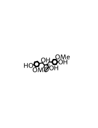 COc1cc(C[C@H]2C(O)OCC2C(O)c2ccc(O)c(OC)c2)ccc1O